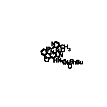 CCCCOC(=O)N1CC(Nc2nc(=O)n(-c3c(C)ccnc3C(C)C)c3nc(-c4ccccc4F)c(Cl)cc23)C1